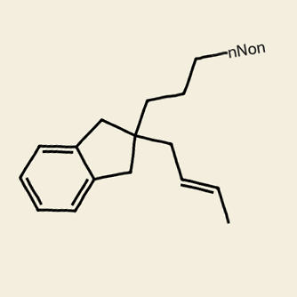 C/C=C/CC1(CCCCCCCCCCCC)Cc2ccccc2C1